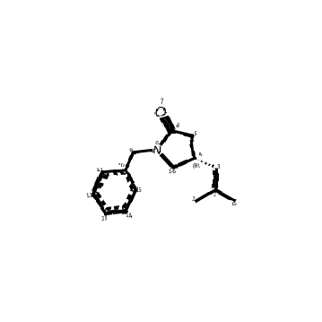 CC(C)=C[C@H]1CC(=O)N(Cc2ccccc2)C1